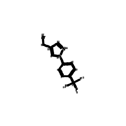 FC(F)(F)c1ccc(-n2cc(CBr)cn2)cc1